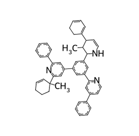 CC1C(C2=CC=CCC2)C=CNC1c1cc(-c2cc(-c3ccccc3)nc(C3(C)C=CCCC3)c2)cc(-c2cc(-c3ccccc3)ccn2)c1